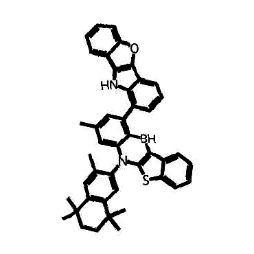 Cc1cc(-c2cccc3c2[nH]c2c4ccccc4oc32)c2c(c1)N(c1cc3c(cc1C)C(C)(C)CCC3(C)C)c1sc3ccccc3c1B2